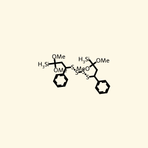 COC([SiH3])(CC(SSSSC(CC([SiH3])(OC)OC)c1ccccc1)c1ccccc1)OC